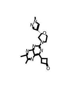 Cc1nc2nc(N3CCO[C@@H](c4cnn(C)c4)C3)nc(C3CC(=O)C3)c2nc1C